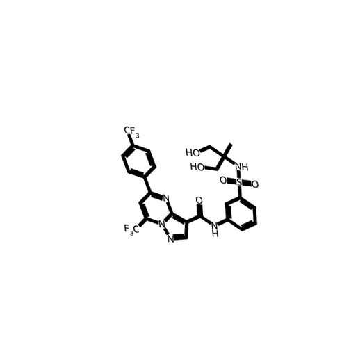 CC(CO)(CO)NS(=O)(=O)c1cccc(NC(=O)c2cnn3c(C(F)(F)F)cc(-c4ccc(C(F)(F)F)cc4)nc23)c1